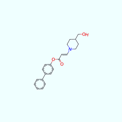 O=C(/C=C/N1CCC(CO)CC1)Oc1ccc(-c2ccccc2)cc1